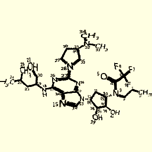 CCCN(C(=O)C(F)(F)F)[C@H]1C[C@@H](n2cnc3c(NC(CO)CC(C)C)nc(N4CC[C@@H](N(C)C)C4)nc32)[C@H](O)[C@@H]1O